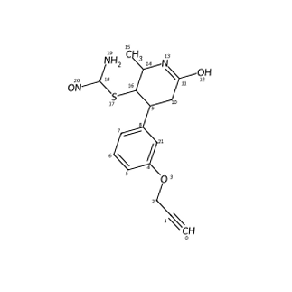 C#CCOc1cccc(C2CC(O)=NC(C)C2SC(N)N=O)c1